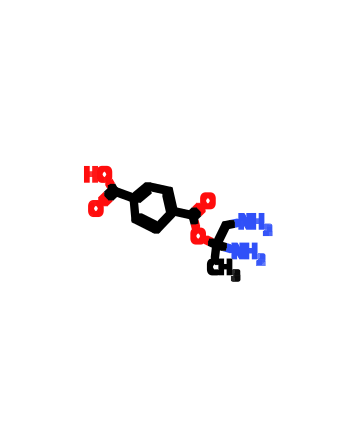 CC(N)(CN)OC(=O)c1ccc(C(=O)O)cc1